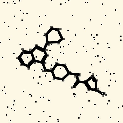 Cn1cnc(C(=O)NC2CCC(Oc3cc(N4CCOCC4)cc4nccnc34)CC2)c1